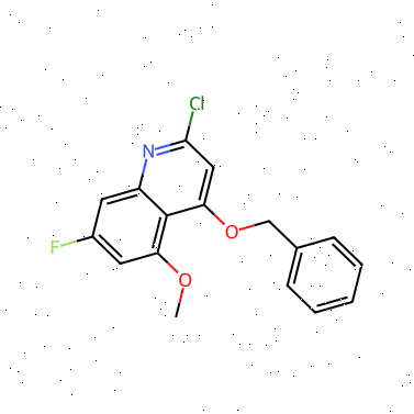 COc1cc(F)cc2nc(Cl)cc(OCc3ccccc3)c12